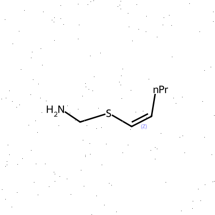 CCC/C=C\SCN